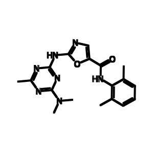 Cc1nc(Nc2ncc(C(=O)Nc3c(C)cccc3C)o2)nc(N(C)C)n1